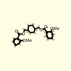 COc1ccccc1C(=O)OCC1CCC(COC(=O)c2ccccc2OC)CC1